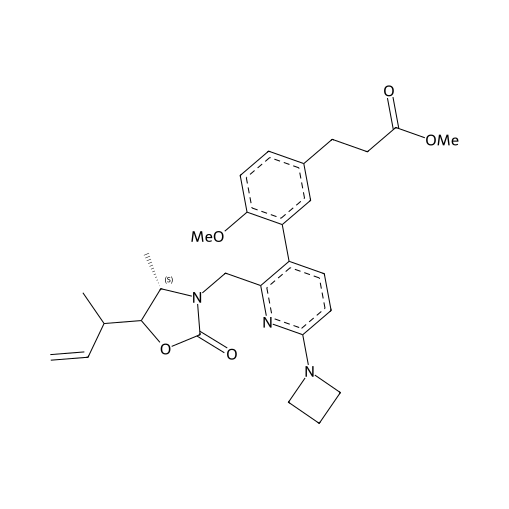 C=CC(C)C1OC(=O)N(Cc2nc(N3CCC3)ccc2-c2cc(CCC(=O)OC)ccc2OC)[C@H]1C